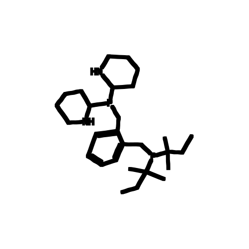 CCC(C)(C)P(Cc1ccccc1CP(C1CCCCN1)C1CCCCN1)C(C)(C)CC